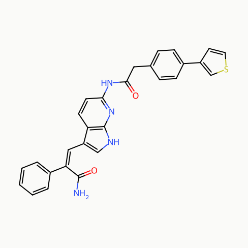 NC(=O)C(=Cc1c[nH]c2nc(NC(=O)Cc3ccc(-c4ccsc4)cc3)ccc12)c1ccccc1